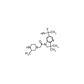 CCCC(C)(F)c1cnc2c(c1)N(C(=O)CN1CCNC(C)C1)CC2(C)C